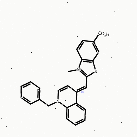 C[n+]1c(/C=C2\C=CN(Cc3ccccc3)c3ccccc32)sc2cc(C(=O)O)ccc21